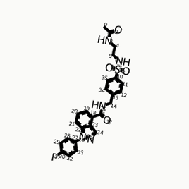 CC(=O)NCCNS(=O)(=O)c1ccc(CNC(=O)c2cccc3c2cnn3-c2ccc(F)cc2)cc1